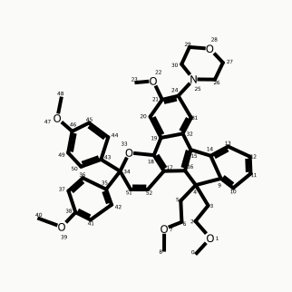 COCCC1(CCOC)c2ccccc2-c2c1c1c(c3cc(OC)c(N4CCOCC4)cc23)OC(c2ccc(OC)cc2)(c2ccc(OC)cc2)C=C1